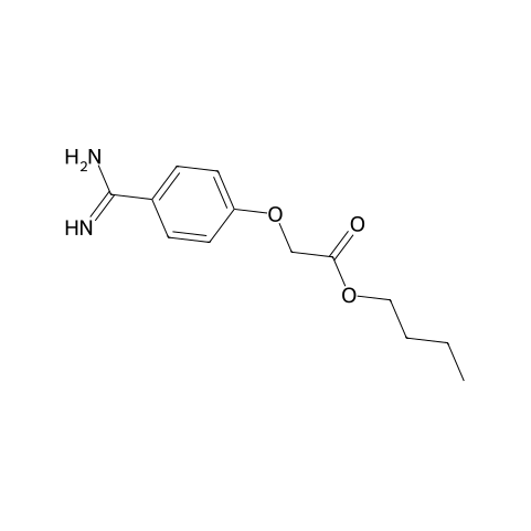 CCCCOC(=O)COc1ccc(C(=N)N)cc1